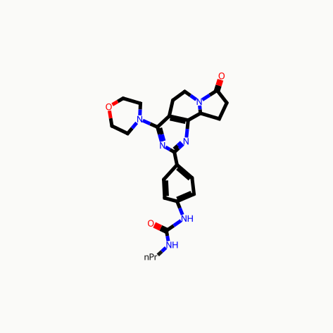 CCCNC(=O)Nc1ccc(-c2nc3c(c(N4CCOCC4)n2)CCN2C(=O)CCC32)cc1